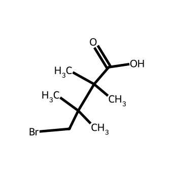 CC(C)(CBr)C(C)(C)C(=O)O